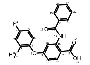 Cc1cc(F)ccc1Oc1ccc(C(=O)O)c(NC(=O)c2ccccc2)c1